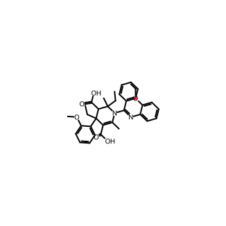 CCC1(c2ccccc2OC)C(C(=O)O)=C(C)N(C(=Nc2ccccc2OC)c2ccccc2)C(C)(CC)C1C(=O)O